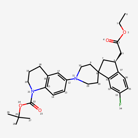 CCOC(=O)C[C@@H]1CC2(CCN(c3ccc4c(c3)CCCN4C(=O)OC(C)(C)C)CC2)c2cc(F)ccc21